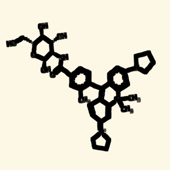 Cc1cc(C(=O)N[C@@H]2[C@@H](O)[C@H](O)[C@@H](CO)O[C@@H]2O)ccc1C1=C2C=CC(=[N+]3CCCC3)C=C2[Si](C)(C)c2cc(N3CCCC3)ccc21